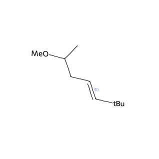 COC(C)C/C=C/C(C)(C)C